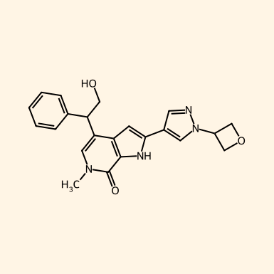 Cn1cc(C(CO)c2ccccc2)c2cc(-c3cnn(C4COC4)c3)[nH]c2c1=O